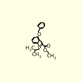 CCOC(=O)c1cc2c(OCc3ccccc3)cccc2n1CC(C)C